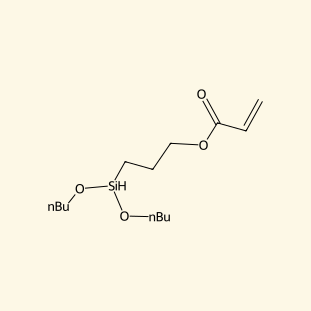 C=CC(=O)OCCC[SiH](OCCCC)OCCCC